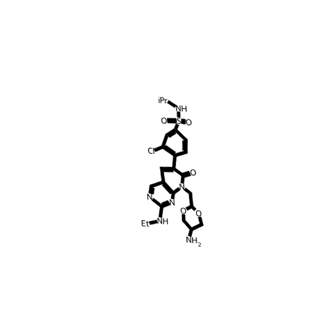 CCNc1ncc2cc(-c3ccc(S(=O)(=O)NC(C)C)cc3Cl)c(=O)n(CC3OCC(N)CO3)c2n1